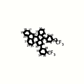 FC(F)(F)Oc1ccc(-c2c3ccccc3c(-c3cc4ccccc4c4ccccc34)c3ccc(-c4cccc(C(F)(F)F)c4)cc23)cc1